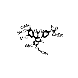 COC(=O)c1c(-c2cc(OC)c(OC)c(OC)c2)c2cc(OC)c(OCCO)cc2c(=O)n1-c1ccc(NC(=O)OC(C)(C)C)cc1